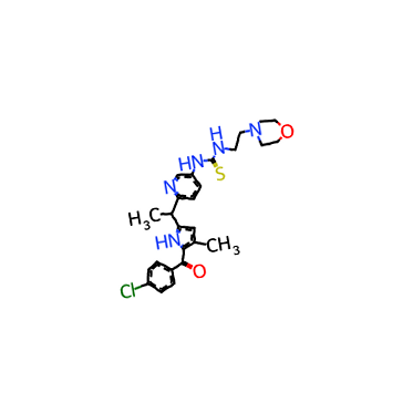 Cc1cc(C(C)c2ccc(NC(=S)NCCN3CCOCC3)cn2)[nH]c1C(=O)c1ccc(Cl)cc1